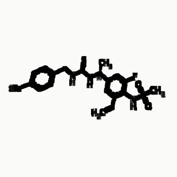 C=Cc1cc([C@@H](C)NC(=S)NCc2ccc(C(C)(C)C)cc2)cc(F)c1NS(C)(=O)=O